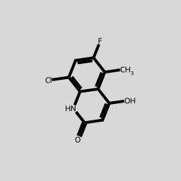 Cc1c(F)cc(Cl)c2[nH]c(=O)cc(O)c12